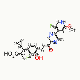 CCOc1cc(-c2ncc(C(=O)CCc3ccc(C(C4CC4)C(C)C(=O)O)c(F)c3O)nc2C)c(F)cn1